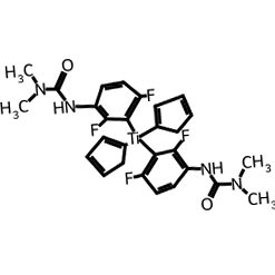 CN(C)C(=O)Nc1ccc(F)[c]([Ti]([C]2=CC=CC2)([C]2=CC=CC2)[c]2c(F)ccc(NC(=O)N(C)C)c2F)c1F